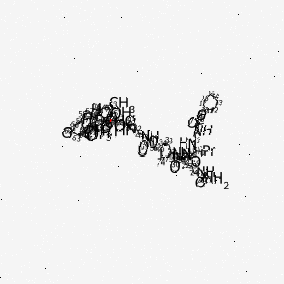 CC(C)[C@H](NCCNC(=O)COC1C#CCCCCC1)C(=O)N[C@@H](CCCNC(N)=O)C(=O)Nc1ccc(COC(=O)NCCNC(=O)OCC(=O)[C@@]2(O)[C@H](C)C[C@H]3[C@@H]4CCC5=CC(=O)C=C[C@]5(C)[C@@]4(F)[C@@H](O)C[C@@]32C)cc1